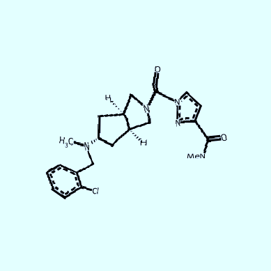 CNC(=O)c1ccn(C(=O)N2C[C@H]3C[C@H](N(C)Cc4ccccc4Cl)C[C@H]3C2)n1